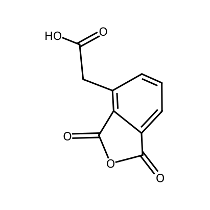 O=C(O)Cc1cccc2c1C(=O)OC2=O